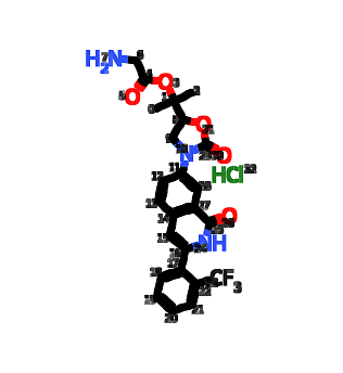 CC(C)(OC(=O)CN)C1CN(c2ccc3cc(-c4ccccc4C(F)(F)F)[nH]c(=O)c3c2)C(=O)O1.Cl